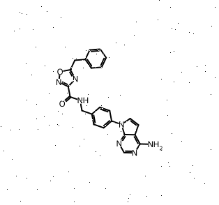 Nc1ncnc2c1ccn2-c1ccc(CNC(=O)c2noc(Cc3ccccc3)n2)cc1